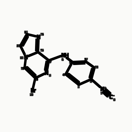 [C-]#[N+]c1ccc(Nc2nc(Br)cn3ccnc23)cc1